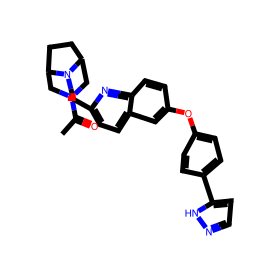 CC(=O)N1CC2CCC(C1)N2Cc1ccc2cc(Oc3ccc(-c4ccn[nH]4)cc3)ccc2n1